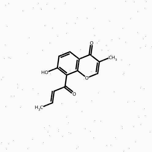 C/C=C/C(=O)c1c(O)ccc2c(=O)c(C)coc12